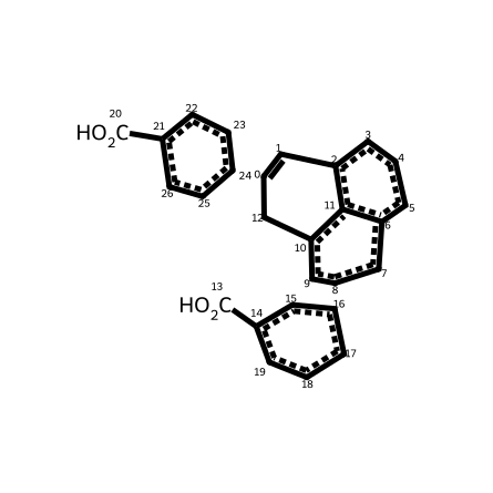 C1=Cc2cccc3cccc(c23)C1.O=C(O)c1ccccc1.O=C(O)c1ccccc1